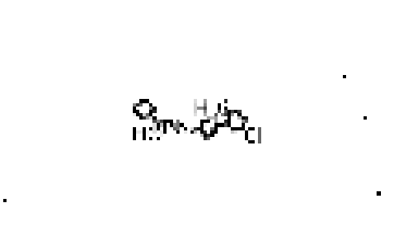 Cc1ccc(Cl)cc1-c1ccc(CCNCC(O)c2ccccc2)cc1